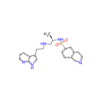 C[C@H](CNCCc1c[nH]c2ncccc12)NS(=O)(=O)c1ccc2cnccc2c1